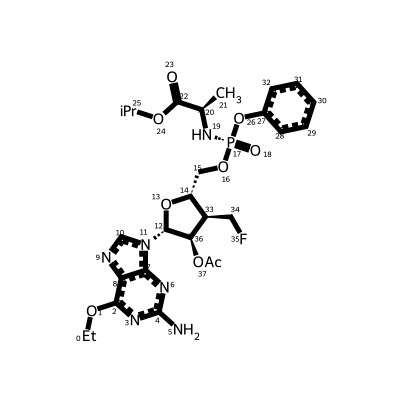 CCOc1nc(N)nc2c1ncn2[C@@H]1O[C@H](CO[P@@](=O)(N[C@H](C)C(=O)OC(C)C)Oc2ccccc2)[C@@H](CF)[C@H]1OC(C)=O